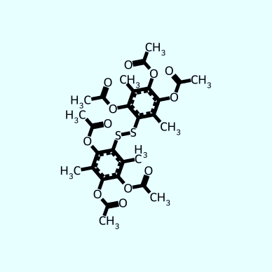 CC(=O)Oc1c(C)c(OC(C)=O)c(SSc2c(C)c(OC(C)=O)c(OC(C)=O)c(C)c2OC(C)=O)c(C)c1OC(C)=O